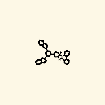 C1=C[C@@H]2C(C=C1C1C=C(c3ccc4ccccc4c3)C=C(c3ccc4ccccc4c3)C1)N=C1c3ccccc3-c3ccccc3N12